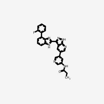 CCC(=O)Nc1cncc(-c2cnc3[nH]nc(-c4nc5c(-c6ccccc6F)cccc5[nH]4)c3c2)c1